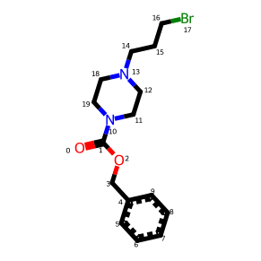 O=C(OCc1ccccc1)N1CCN(CCCBr)CC1